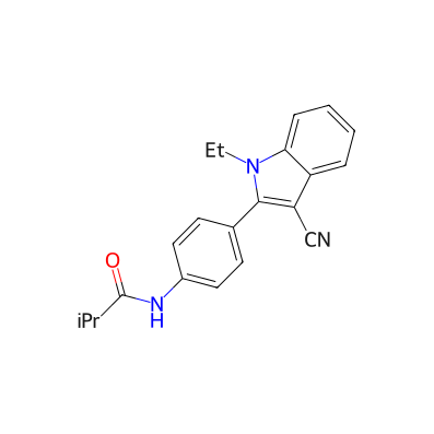 CCn1c(-c2ccc(NC(=O)C(C)C)cc2)c(C#N)c2ccccc21